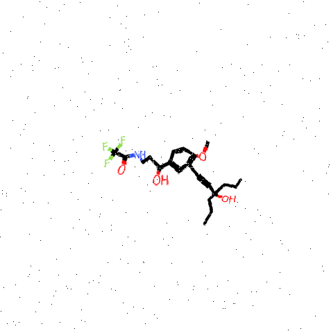 CCCC(O)(C#Cc1cc(C(O)CCNC(=O)C(F)(F)F)ccc1OC)CCC